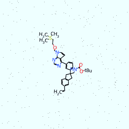 C=Cc1ccc2c(c1)CC(CNC(=O)OC(C)(C)C)(c1cccc(-c3ncnc4c3ccn4COCCS(C)(C)C)c1)C2